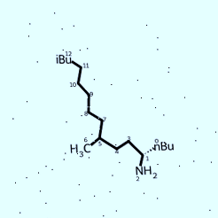 CCCC[C@H](N)CCC(C)CCCCCC(C)CC